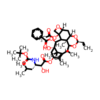 C=C[C@@H]1O[C@H]2C[C@H]3OC[C@@]3(OC(C)=O)C3[C@H](OC(=O)c4ccccc4)[C@]4(O)C[C@H](OC(=O)[C@H](O)[C@H](CC(C)C)NC(=O)OC(C)(C)C)C(C)=C(C(C)[C@H](O1)[C@@]32C)C4(C)C